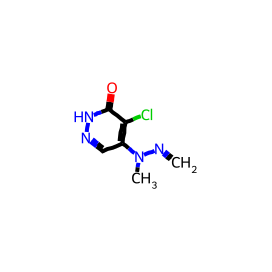 C=NN(C)c1cn[nH]c(=O)c1Cl